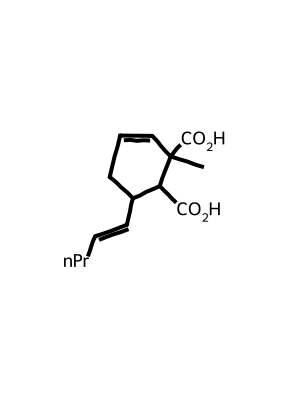 CCCC=CC1CC=CC(C)(C(=O)O)C1C(=O)O